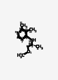 COC[C@@H](C)Nc1ncnc(C)c1C